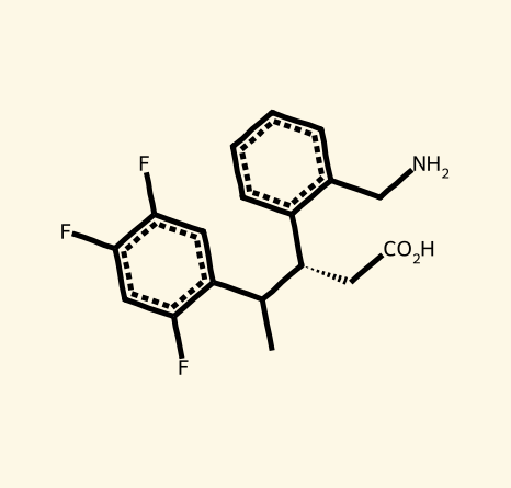 CC(c1cc(F)c(F)cc1F)[C@@H](CC(=O)O)c1ccccc1CN